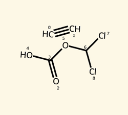 C#C.O=C(O)OC(Cl)Cl